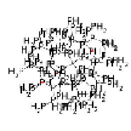 PPP(P(P)P)P(P(P(P)P)P(P)P)P(P(P(P(P)P)P(P)P)P(P(P)P)P(P)P)C(P(P(P(P)P)P(P)P)P(P(P)P)P(P)P)(P(P(P(P)P)P(P)P)P(P(P)P)P(P)P)P(P(P(P)P)P(P)P)P(P(P)P)P(P)P